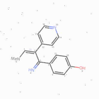 CN/C=C(\C(=N)c1ccc(O)cc1)c1ccncc1